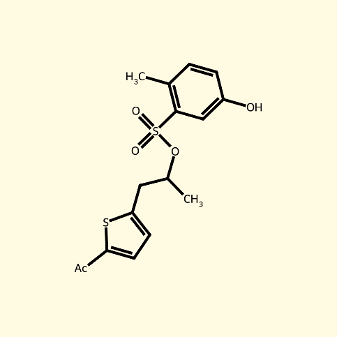 CC(=O)c1ccc(CC(C)OS(=O)(=O)c2cc(O)ccc2C)s1